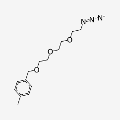 Cc1ccc(COCCOCCOCCN=[N+]=[N-])cc1